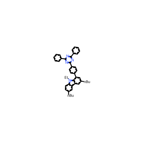 CCCCc1ccc2c(c1)c1cc(CCCC)cc(-c3ccc(-c4nc(-c5ccccc5)nc(-c5ccccc5)n4)cc3)c1n2CC